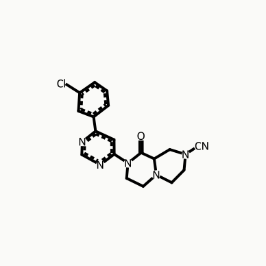 N#CN1CCN2CCN(c3cc(-c4cccc(Cl)c4)ncn3)C(=O)C2C1